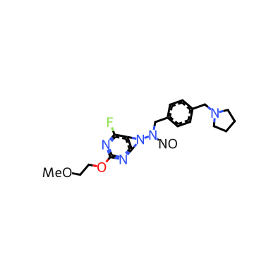 COCCOc1nc(F)c2c(n1)N2N(Cc1ccc(CN2CCCC2)cc1)N=O